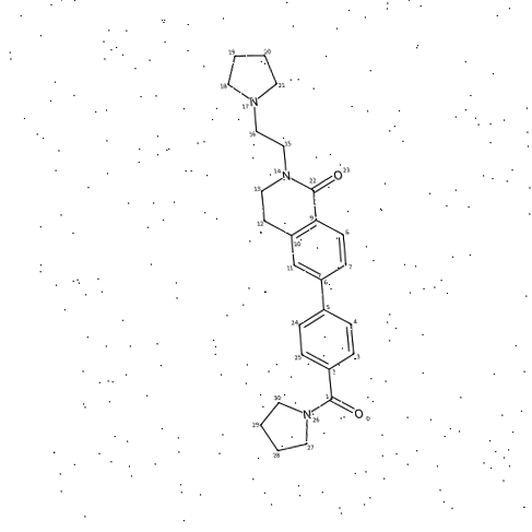 O=C(c1ccc(-c2ccc3c(c2)CCN(CCN2CCCC2)C3=O)cc1)N1CCCC1